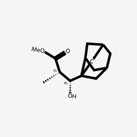 COC(=O)[C@@H](C)[C@@H](O)C12CC3CC(CC1C3)C2